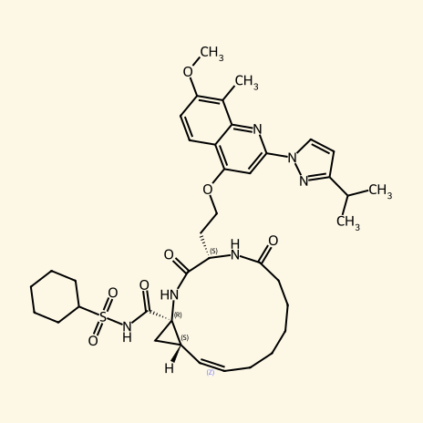 COc1ccc2c(OCC[C@@H]3NC(=O)CCCCC/C=C\[C@@H]4C[C@@]4(C(=O)NS(=O)(=O)C4CCCCC4)NC3=O)cc(-n3ccc(C(C)C)n3)nc2c1C